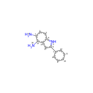 Nc1ccc2[nH]c(-c3ccccc3)cc2c1N